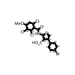 COc1cc(Cl)c(C(=O)Nc2scc(-c3ccc(Br)cc3)c2C(=O)O)c(Cl)c1Cl